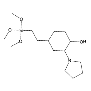 CO[Si](CCC1CCC(O)C(N2CCCC2)C1)(OC)OC